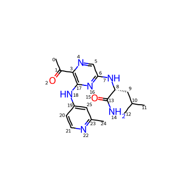 CC(=O)c1ncc(N[C@H](CC(C)C)C(N)=O)nc1Nc1ccnc(C)c1